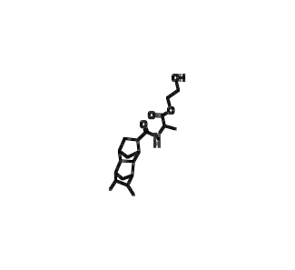 CC(NC(=O)C1CC2CC1C1C3CC(C(C)C3C)C21)C(=O)OCCO